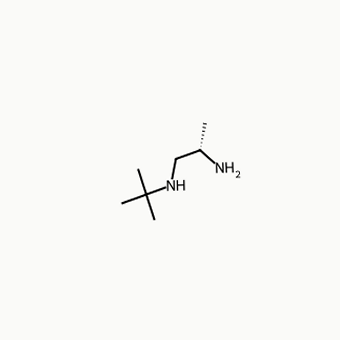 C[C@H](N)CNC(C)(C)C